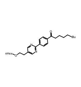 CCCCCCOCCc1cnc(-c2ccc(C(=O)CCCCC(C)CC)cc2)nc1